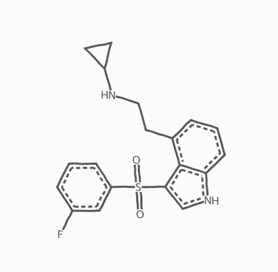 O=S(=O)(c1cccc(F)c1)c1c[nH]c2cccc(CCNC3CC3)c12